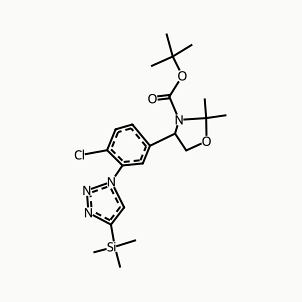 CC(C)(C)OC(=O)N1C(c2ccc(Cl)c(-n3cc([Si](C)(C)C)nn3)c2)COC1(C)C